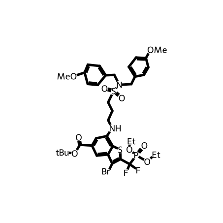 CCOP(=O)(OCC)C(F)(F)c1sc2c(NCCCS(=O)(=O)N(Cc3ccc(OC)cc3)Cc3ccc(OC)cc3)cc(C(=O)OC(C)(C)C)cc2c1Br